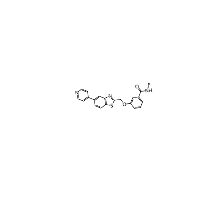 O=C(NF)c1cccc(OCc2nc3cc(-c4ccncc4)ccc3s2)c1